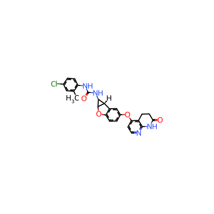 Cc1cc(Cl)ccc1NC(=O)N[C@@H]1C2Oc3ccc(Oc4ccnc5c4CCC(=O)N5)cc3[C@H]21